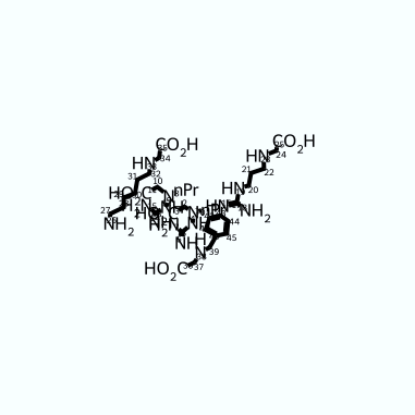 CCCN(CC(=O)O)NC(=N)N.CCCN(CC(=O)O)NC(=N)N.N=C(N)NCCCNCC(=O)O.NCCCCCCNCC(=O)O.O=C(O)CNCc1ccccc1